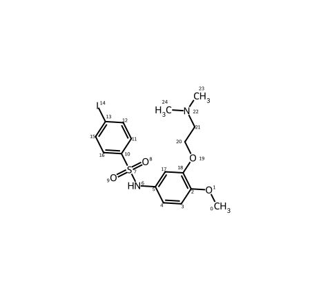 COc1ccc(NS(=O)(=O)c2ccc(I)cc2)cc1OCCN(C)C